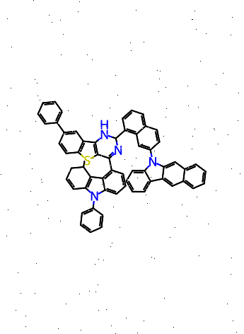 CC1CC=Cc2c1c1c(C3=NC(c4cccc5ccc(-n6c7ccccc7c7cc8ccccc8cc76)cc45)Nc4c3sc3ccc(-c5ccccc5)cc43)cccc1n2-c1ccccc1